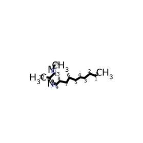 CCCCCCCCC/C=N\C(C)/C=N/C